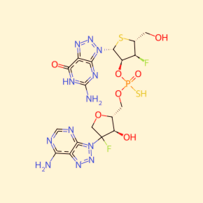 Nc1nc2c(nnn2[C@@H]2S[C@H](CO)[C@@H](F)[C@H]2OP(=O)(S)OC[C@H]2OCC(F)(n3nnc4c(N)ncnc43)[C@@H]2O)c(=O)[nH]1